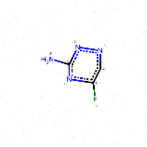 Nc1nncc(F)n1